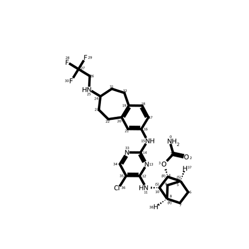 NC(=O)O[C@@H]1[C@H]2CC[C@H](C2)[C@@H]1Nc1nc(Nc2ccc3c(c2)CCC(NCC(F)(F)F)CC3)ncc1Cl